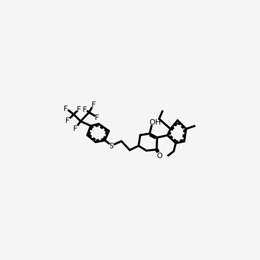 CCc1cc(C)cc(CC)c1C1=C(O)CC(CCSc2ccc(C(F)(C(F)(F)F)C(F)(F)F)cc2)CC1=O